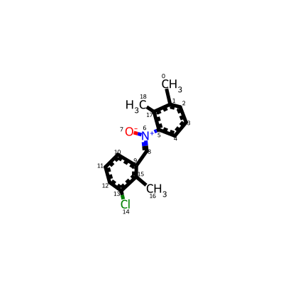 Cc1cccc([N+]([O-])=Cc2cccc(Cl)c2C)c1C